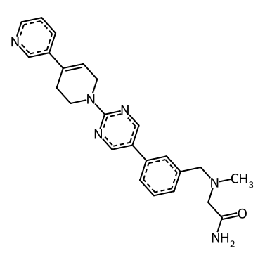 CN(CC(N)=O)Cc1cccc(-c2cnc(N3CC=C(c4cccnc4)CC3)nc2)c1